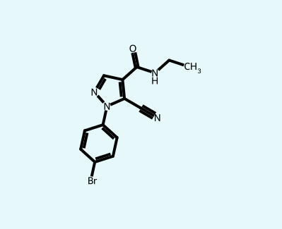 CCNC(=O)c1cnn(-c2ccc(Br)cc2)c1C#N